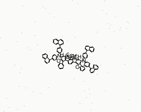 C[Si]1(C)c2cc(N(c3ccc(-c4cccc5ccccc45)cc3)c3ccc(-c4cccc5ccccc45)cc3)c3c(oc4ccccc43)c2-c2ccc3c(c21)[Si](C)(C)c1cc(N(c2ccc(-c4cccc5ccccc45)cc2)c2ccc(-c4cccc5ccccc45)cc2)c2oc4ccccc4c2c1-3